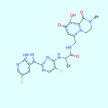 CCC(Nc1nc(-c2n[nH]c3ncc(F)cc23)ncc1F)C(=O)NCc1cc(=O)c(O)c2n1CCN(C(C)C)C2=O